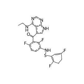 CCNc1ncnc2[nH]cc(C(=O)c3c(F)ccc(NSC4=C(F)CCC(F)=C4)c3F)c12